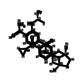 CC(C)[C@H](C)Nc1cc(C(=O)N[C@H]2C[C@H]3CC[C@@H](C2)N3c2ccc(C(=O)C3CC3)cn2)ccc1C(N)=O